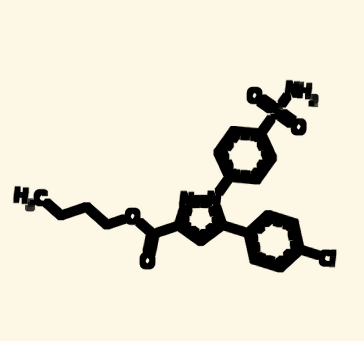 CCCCOC(=O)c1cc(-c2ccc(Cl)cc2)n(-c2ccc(S(N)(=O)=O)cc2)n1